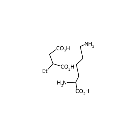 CCC(CC(=O)O)C(=O)O.NCCCCC(N)C(=O)O